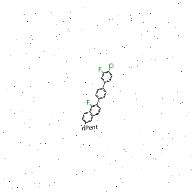 CCCCCc1ccc2c(F)c(-c3ccc(-c4ccc(Cl)c(F)c4)cc3)ccc2c1